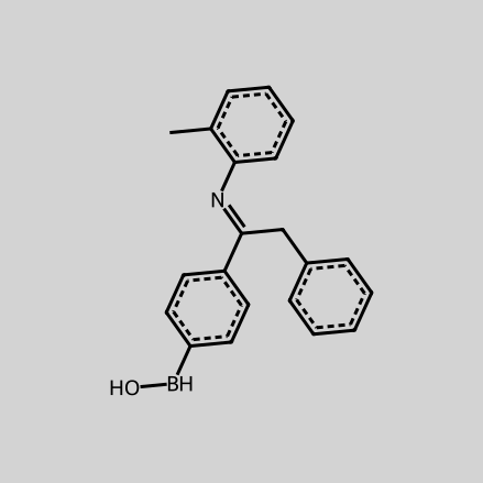 Cc1ccccc1/N=C(\Cc1ccccc1)c1ccc(BO)cc1